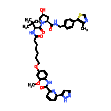 COc1cc(OCCCCCCC(=O)N[C@H](C(=O)N2C[C@H](O)C[C@H]2C(=O)NCc2ccc(-c3scnc3C)cc2)C(C)(C)C)ccc1NC(=O)c1cccc(-c2ccn[nH]2)n1